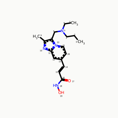 CCCN(CC)Cc1c(C)nc2cc(C=CC(=O)NO)ccn12